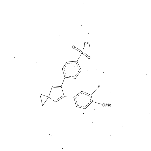 COc1ccc(C2=CC3(C=C2c2ccc(S(=O)(=O)C(F)(F)F)cc2)CC3)cc1F